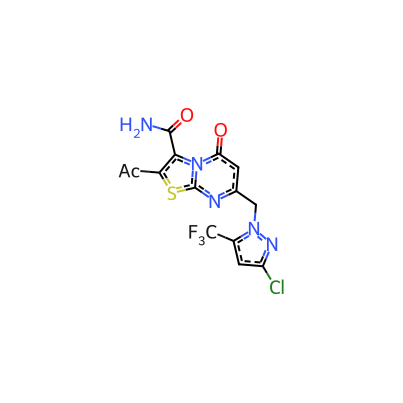 CC(=O)c1sc2nc(Cn3nc(Cl)cc3C(F)(F)F)cc(=O)n2c1C(N)=O